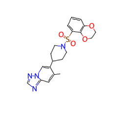 Cc1cc2ncnn2cc1C1CCN(S(=O)(=O)c2cccc3c2OCCO3)CC1